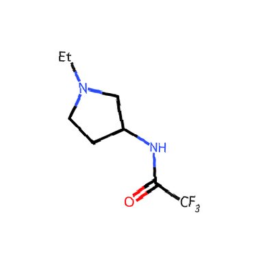 CCN1CCC(NC(=O)C(F)(F)F)C1